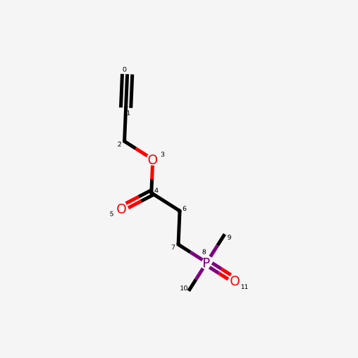 C#CCOC(=O)CCP(C)(C)=O